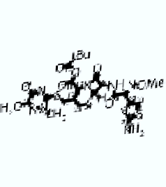 CON=C(C(=O)N[C@@H]1C(=O)N2C(C(=O)OC(=O)C(C)(C)C)=C(CSc3nc(=O)c(C)nn3C)CS[C@H]12)c1csc(N)n1